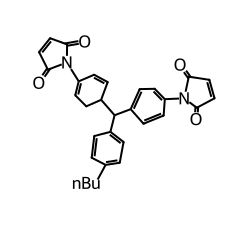 CCCCc1ccc(C(c2ccc(N3C(=O)C=CC3=O)cc2)C2C=CC(N3C(=O)C=CC3=O)=CC2)cc1